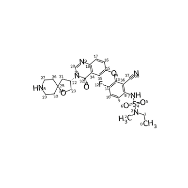 CCN(C)S(=O)(=O)Nc1ccc(F)c(Oc2ccc3ncn([C@@H]4COC5(CCNCC5)C4)c(=O)c3c2)c1C#N